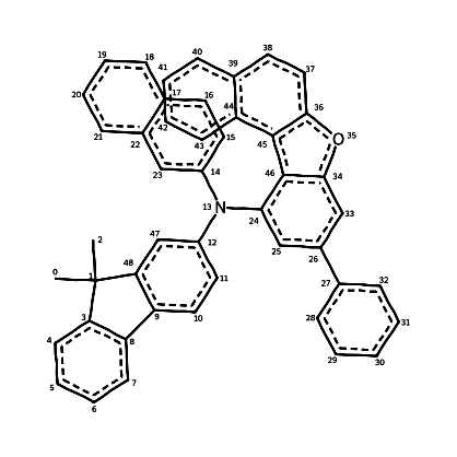 CC1(C)c2ccccc2-c2ccc(N(c3ccc4ccccc4c3)c3cc(-c4ccccc4)cc4oc5ccc6ccccc6c5c34)cc21